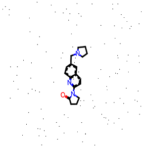 O=C1CCCN1c1ccc2cc(CN3CCCC3)ccc2n1